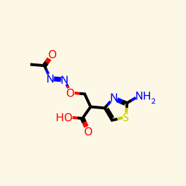 CC(=O)N=NOCC(C(=O)O)c1csc(N)n1